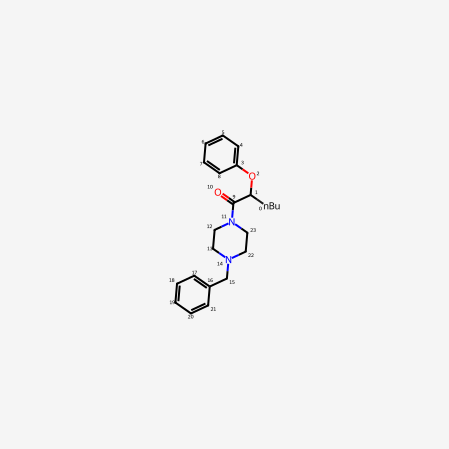 CCCCC(Oc1ccccc1)C(=O)N1CCN(Cc2ccccc2)CC1